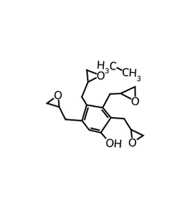 CC.Oc1cc(CC2CO2)c(CC2CO2)c(CC2CO2)c1CC1CO1